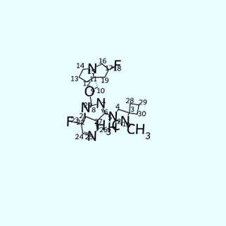 CN(C)C1(CNc2nc(OC[C@]34CCCN3C[C@@H](F)C4)nc3c(F)cncc23)CCC1